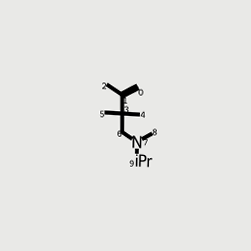 C=C(C)C(C)(C)CN(C)C(C)C